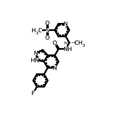 C[C@H](NC(=O)c1cnc(-c2ccc(F)cc2)c2[nH]ncc12)c1cncc(S(C)(=O)=O)c1